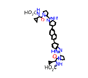 O=C(O)NC(C(=O)N1CCCC1c1nc2cc(-c3ccc4cc(-c5ccc6[nH]c([C@@H]7CCCN7C(=O)[C@@H](NC(=O)O)C7CC7)nc6c5)ccc4c3)ccc2[nH]1)C1CC1